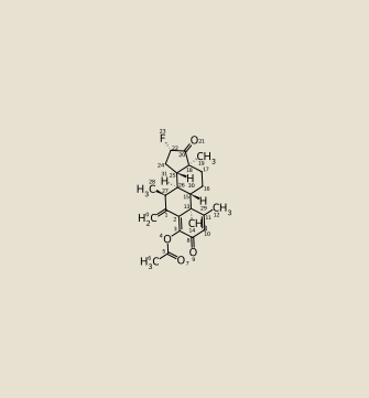 C=C1C2=C(OC(C)=O)C(=O)C=C(C)[C@]2(C)[C@H]2CC[C@]3(C)C(=O)[C@@H](F)C[C@H]3[C@@H]2[C@@H]1C